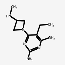 CCc1c(N)nc(N)nc1N1CC(NC)C1